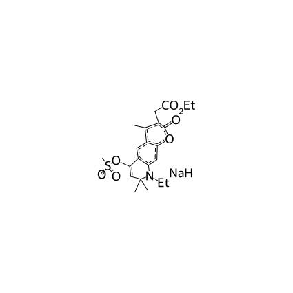 CCOC(=O)Cc1c(C)c2cc3c(cc2oc1=O)N(CC)C(C)(C)C=C3OS(C)(=O)=O.[NaH]